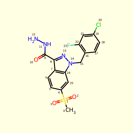 CS(=O)(=O)c1ccc2c(C(=O)NN)nn(Cc3ccc(Cl)cc3F)c2c1